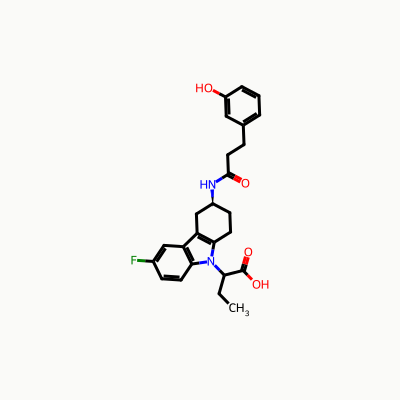 CCC(C(=O)O)n1c2c(c3cc(F)ccc31)C[C@@H](NC(=O)CCc1cccc(O)c1)CC2